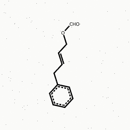 O=[C]OCC=CCc1ccccc1